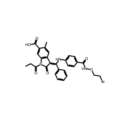 CCC(=O)N1C(=O)C(=C(Nc2ccc(C(=O)NOCCBr)cc2)c2ccccc2)c2cc(C)c(C(=O)O)cc21